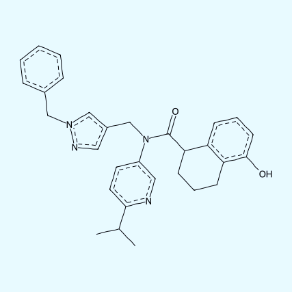 CC(C)c1ccc(N(Cc2cnn(Cc3ccccc3)c2)C(=O)C2CCCc3c(O)cccc32)cn1